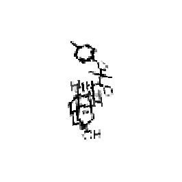 Cc1ccc(OC(C)(C)C(=O)N[C@H]2[C@@H]3CC4C[C@H]2C[C@](O)(C4)C3)cc1